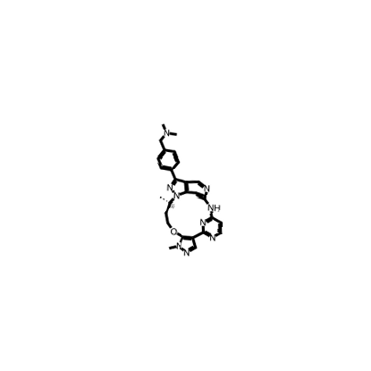 C[C@H]1CCOc2c(cnn2C)-c2nccc(n2)Nc2cc3c(cn2)c(-c2ccc(CN(C)C)cc2)nn31